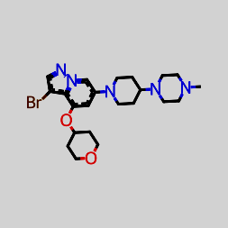 CN1CCN(C2CCN(c3cc(OC4CCOCC4)c4c(Br)cnn4c3)CC2)CC1